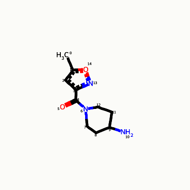 Cc1cc(C(=O)N2CCC(N)CC2)no1